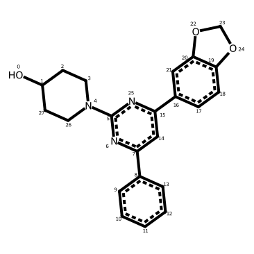 OC1CCN(c2nc(-c3ccccc3)cc(-c3ccc4c(c3)OCO4)n2)CC1